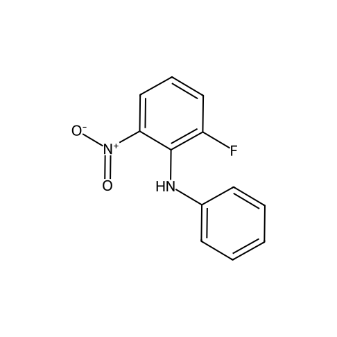 O=[N+]([O-])c1cccc(F)c1Nc1ccccc1